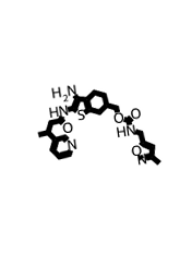 Cc1cc(CNC(=O)OCC2CCc3c(sc(NC(=O)CC(C)c4cccnc4)c3N)C2)on1